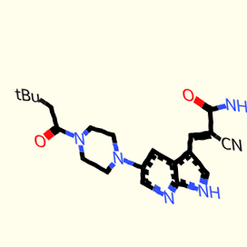 CC(C)(C)CC(=O)N1CCN(c2cnc3[nH]cc(/C=C(\C#N)C(N)=O)c3c2)CC1